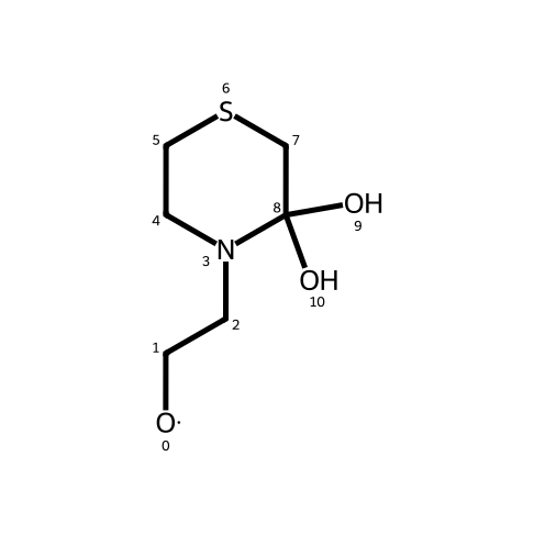 [O]CCN1CCSCC1(O)O